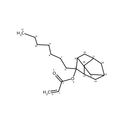 C=CC(=O)OC1(CCCCCCC)C2CC3CC(C2)CC1C3